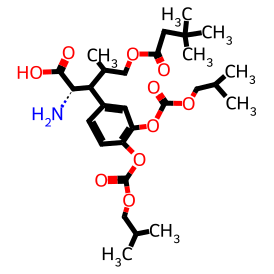 CC(C)COC(=O)Oc1ccc(C(C(C)COC(=O)CC(C)(C)C)[C@H](N)C(=O)O)cc1OC(=O)OCC(C)C